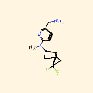 CN(c1ccc(CN)cn1)C1CC2(C1)CC2(F)F